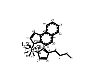 CCCCC1=C[CH]([Hf]([CH3])([CH3])([CH3])([CH3])(=[SiH2])(=[SiH2])[CH]2C=Cc3c2ccc2ccccc32)C=C1